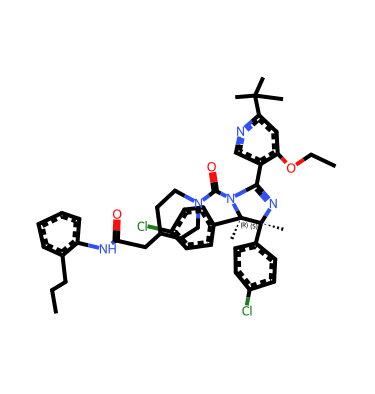 CCCc1ccccc1NC(=O)CC1CCN(C(=O)N2C(c3cnc(C(C)(C)C)cc3OCC)=N[C@@](C)(c3ccc(Cl)cc3)[C@@]2(C)c2ccc(Cl)cc2)CC1